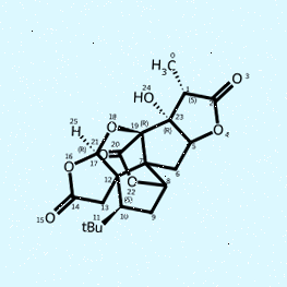 C[C@@H]1C(=O)OC2CC34C5C[C@@H](C(C)(C)C)C36CC(=O)O[C@H]6O[C@@]4(C(=O)O5)[C@]21O